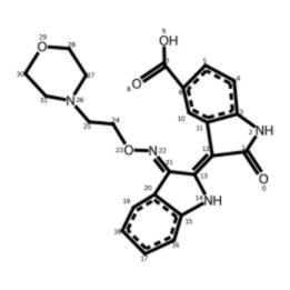 O=C1Nc2ccc(C(=O)O)cc2/C1=C1/Nc2ccccc2/C1=N\OCCN1CCOCC1